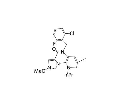 CCCN1CC(C)=CC2=C1N1CN(OC)C=C1C(=O)N2Cc1c(F)cccc1Cl